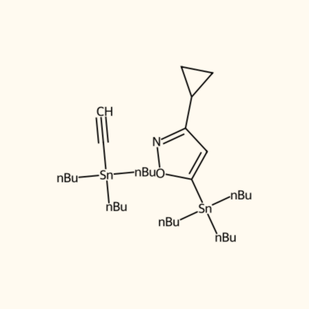 C#[C][Sn]([CH2]CCC)([CH2]CCC)[CH2]CCC.CCC[CH2][Sn]([CH2]CCC)([CH2]CCC)[c]1cc(C2CC2)no1